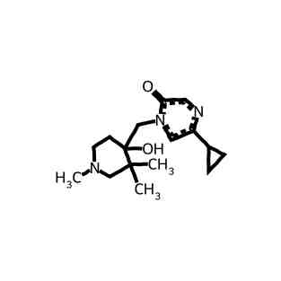 CN1CCC(O)(Cn2cc(C3CC3)ncc2=O)C(C)(C)C1